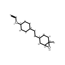 C=COC1CCC(CCC2CCC3(C)OC3C2)CC1